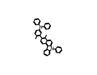 Cc1ccc(N(c2ccccc2)c2ccccc2)cc1-c1ccc2c(ccc3c2c2ccccc2n3-c2ccccc2)c1C